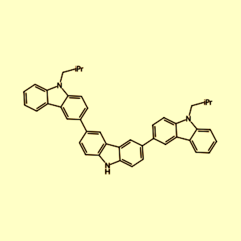 CC(C)Cn1c2ccccc2c2cc(-c3ccc4[nH]c5ccc(-c6ccc7c(c6)c6ccccc6n7CC(C)C)cc5c4c3)ccc21